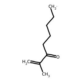 [CH2]CCCCC(=O)C(=C)C